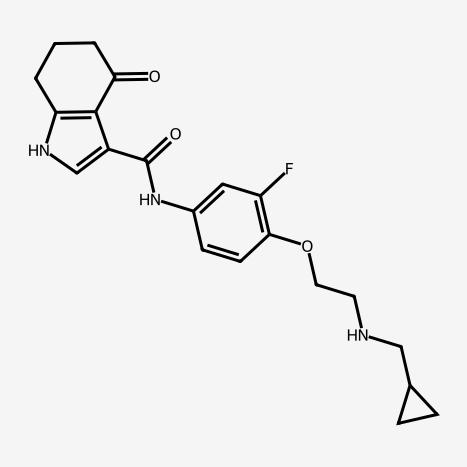 O=C(Nc1ccc(OCCNCC2CC2)c(F)c1)c1c[nH]c2c1C(=O)CCC2